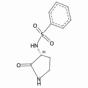 O=C1NCC[C@H]1NS(=O)(=O)c1ccccc1